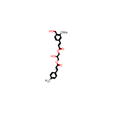 COc1cc(/C=C/C(=O)OCC(O)COC(=O)/C=C/c2ccc(C)cc2)ccc1CO